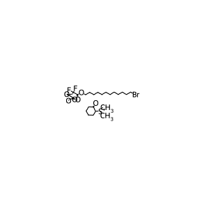 C[S+](C)C1CCCCC1=O.O=C(OCCCCCCCCCCCCBr)C(F)(F)S(=O)(=O)[O-]